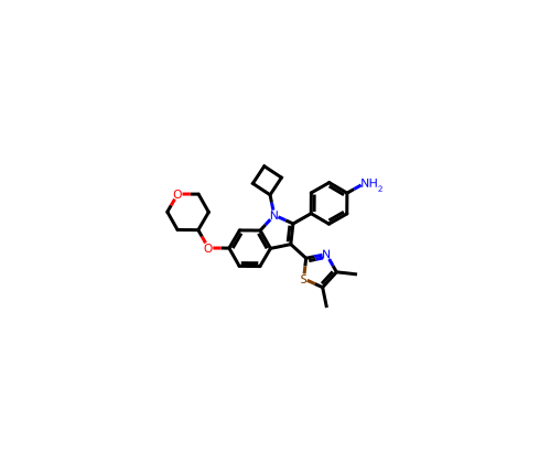 Cc1nc(-c2c(-c3ccc(N)cc3)n(C3CCC3)c3cc(OC4CCOCC4)ccc23)sc1C